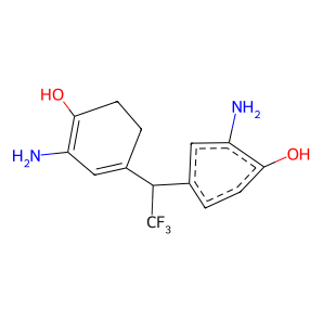 NC1=C(O)CCC(C(c2ccc(O)c(N)c2)C(F)(F)F)=C1